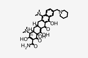 CN(C)c1c2c(c(O)c3cc(CN4CCCCC4)ccc13)C(=O)C1=C(O)[C@]3(O)C(=O)C(C(N)=O)=C(O)[C@@H](N(C)C)[C@@H]3C[C@@H]1C2